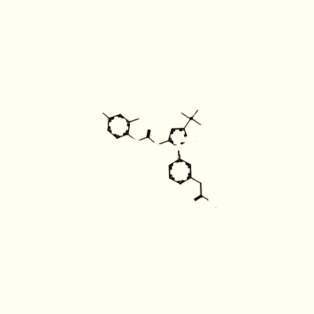 CC(C)(C)c1cc(NC(=O)Nc2ccc(F)cc2F)n(-c2cccc(CC(=O)O)c2)n1